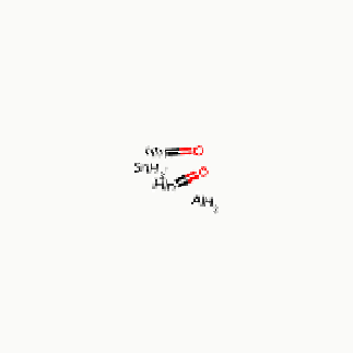 [AlH3].[O]=[InH].[O]=[InH].[SnH2]